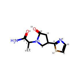 CCC(C(N)=O)N1CC(c2nccs2)CC1=O